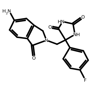 Nc1ccc2c(c1)CN(CC1(c3ccc(F)cc3)NC(=O)NC1=O)C2=O